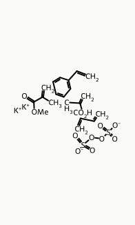 C=C(C)C(=O)O.C=C(C)C(=O)OC.C=CC=C.C=Cc1ccccc1.O=S(=O)([O-])OOS(=O)(=O)[O-].[K+].[K+]